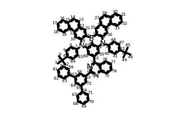 CC(C)(C)c1ccc(N2c3cc4c(ccc5ccccc54)cc3B3c4cc5ccc6ccccc6c5cc4N(c4ccc(C(C)(C)C)cc4)c4cc(-c5nc(-c6cc(-c7ccccc7)cc(-c7ccccc7)c6)nc6ccccc56)cc2c43)cc1